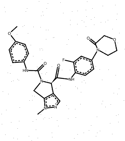 COc1ccc(NC(=O)N2Cc3c(cnn3C)[C@@H]2C(=O)Nc2ccc(N3CCOCC3=O)cc2F)cc1